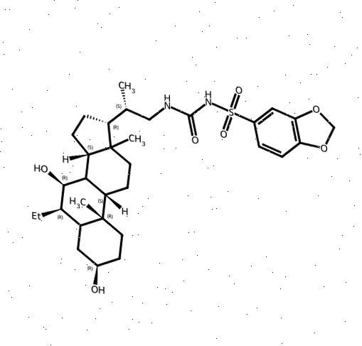 CC[C@@H]1C2C[C@H](O)CC[C@@]2(C)[C@H]2CCC3(C)[C@@H]([C@H](C)CNC(=O)NS(=O)(=O)c4ccc5c(c4)OCO5)CC[C@H]3C2[C@@H]1O